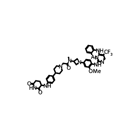 COc1cc(N2CC(N(C)C(=O)CN3CCC(c4ccc(NC5CCC(=O)NC5=O)cc4)CC3)C2)ccc1Nc1ncc(C(F)(F)F)c(Nc2ccccc2C(C)=O)n1